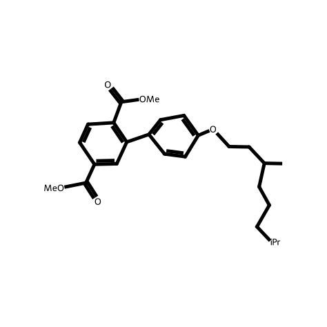 COC(=O)c1ccc(C(=O)OC)c(-c2ccc(OCCC(C)CCCC(C)C)cc2)c1